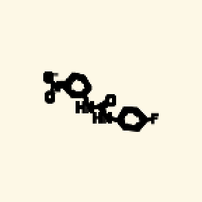 O=C(Nc1ccc(F)cc1)Nc1cccc([N+](=O)[O-])c1